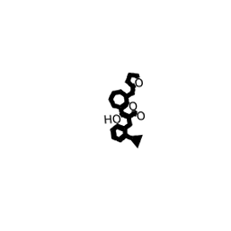 O=c1oc2c(c(O)c1Cc1ccccc1C1CC1)CCCCC2CC1CCCO1